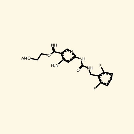 COCCOC(=N)c1cnc(NC(=O)NCc2c(F)cccc2F)cc1N